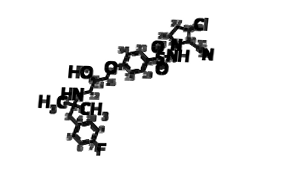 CC(C)(Cc1ccc(F)cc1)NC[C@@H](O)COc1ccc(S(=O)(=O)NN2CCC(Cl)C2C#N)cc1